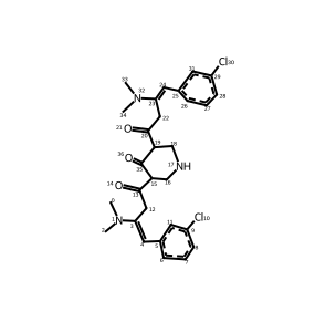 CN(C)/C(=C/c1cccc(Cl)c1)CC(=O)C1CNCC(C(=O)C/C(=C\c2cccc(Cl)c2)N(C)C)C1=O